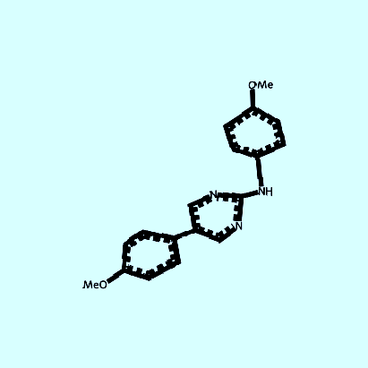 COc1ccc(Nc2ncc(-c3ccc(OC)cc3)cn2)cc1